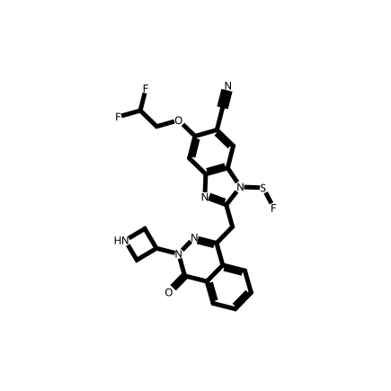 N#Cc1cc2c(cc1OCC(F)F)nc(Cc1nn(C3CNC3)c(=O)c3ccccc13)n2SF